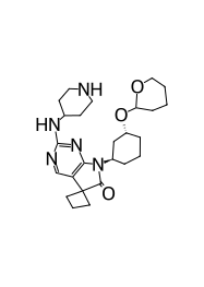 O=C1N([C@@H]2CCC[C@@H](OC3CCCCO3)C2)c2nc(NC3CCNCC3)ncc2C12CCC2